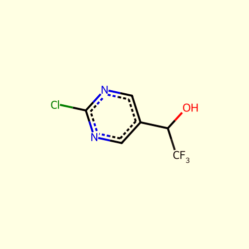 OC(c1cnc(Cl)nc1)C(F)(F)F